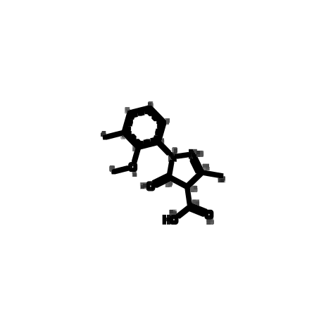 COc1c(C)cccc1N1N=C(C)C(C(=O)O)C1=O